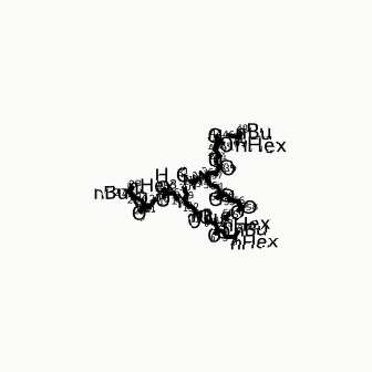 CCCCCCC(CCCC)COC(=O)CCOC(=O)CCN(CCC(=O)OCCC(=O)OCC(CCCC)CCCCCC)CCN(C)CCN(CCC(=O)OCCC(=O)OCC(CCCC)CCCCCC)CCC(=O)OCCC(=O)OCC(CCCC)CCCCCC